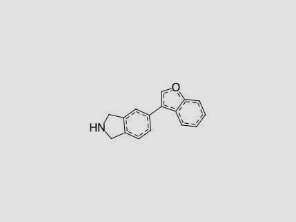 c1ccc2c(-c3ccc4c(c3)CNC4)coc2c1